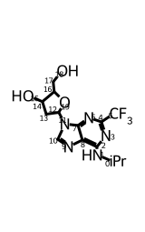 CC(C)Nc1nc(C(F)(F)F)nc2c1ncn2C1CC(O)C(CO)O1